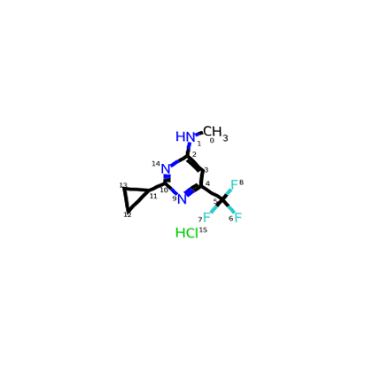 CNc1cc(C(F)(F)F)nc(C2CC2)n1.Cl